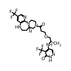 C[C@@H](COCCC(=O)N1CCN2c3ncc(C(F)(F)F)cc3NCC[C@H]2C1)Nc1cn[nH]c(=O)c1C(F)(F)F